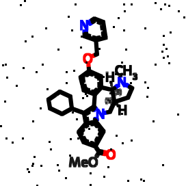 COC(=O)c1ccc2c(C3CCCCC3)c3n(c2c1)C[C@@H]1CCN(C)[C@@H]1c1cc(OCc2cccnc2)ccc1-3